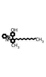 CCCCCCCCCCCCc1cc(C)cc(-n2nc3ccccc3n2)c1-c1ccc(O)cc1